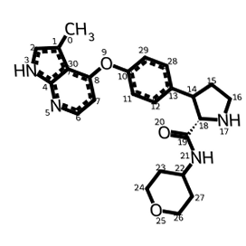 Cc1c[nH]c2nccc(Oc3ccc(C4CCN[C@@H]4C(=O)NC4CCOCC4)cc3)c12